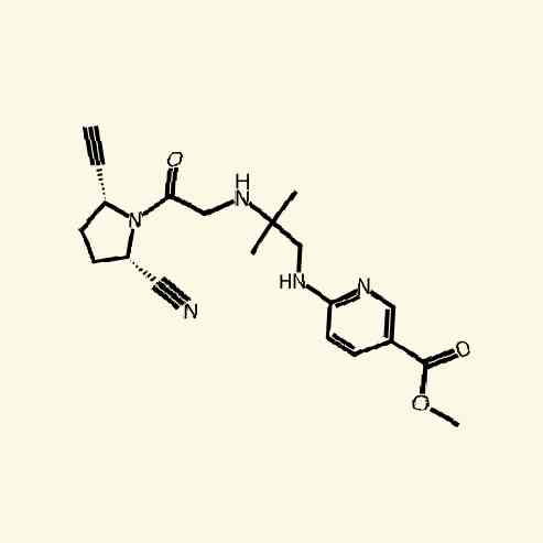 C#C[C@H]1CC[C@@H](C#N)N1C(=O)CNC(C)(C)CNc1ccc(C(=O)OC)cn1